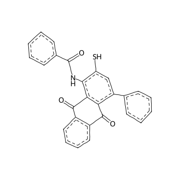 O=C(Nc1c(S)cc(-c2ccccc2)c2c1C(=O)c1ccccc1C2=O)c1ccccc1